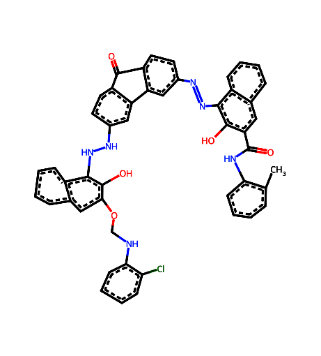 Cc1ccccc1NC(=O)c1cc2ccccc2c(N=Nc2ccc3c(c2)-c2cc(NNc4c(O)c(OCNc5ccccc5Cl)cc5ccccc45)ccc2C3=O)c1O